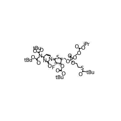 CC(C)OC(=O)OCOP(=O)(OCCSC(=O)C(C)(C)C)OC[C@H]1S[C@@H](n2ccc(N(C(=O)OC(C)(C)C)C(=O)OC(C)(C)C)nc2=O)[C@@H](F)[C@@H]1OC(=O)OC(C)(C)C